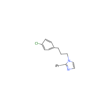 CC(C)c1nccn1CCCc1ccc(Cl)cc1